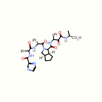 CCCC(NC(=O)C1[C@H]2CCC[C@H]2CN1C(=O)[C@@H](NC(=O)C(NC(=O)c1cnccn1)C(C)C)C(C)C)C(=O)C(=O)N[C@@H](C)C(=O)O